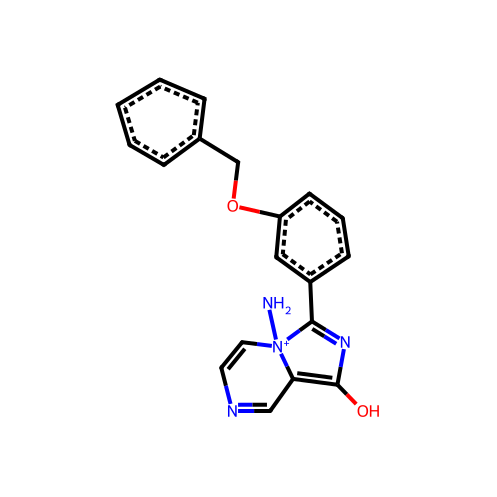 N[N+]12C=CN=CC1=C(O)N=C2c1cccc(OCc2ccccc2)c1